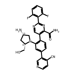 N#Cc1ccncc1-c1ccc(-c2cnc(-c3c(F)cccc3F)nc2C(N)=O)c(N2C[C@@H](N)C[C@H]2CO)c1